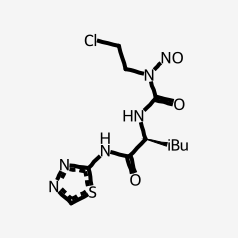 CCC(C)[C@H](NC(=O)N(CCCl)N=O)C(=O)Nc1nncs1